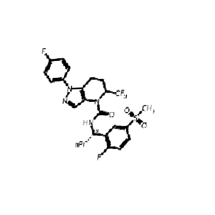 CCC[C@H](NC(=O)N1c2cnn(-c3ccc(F)cc3)c2CCC1C(F)(F)F)c1cc(S(C)(=O)=O)ccc1F